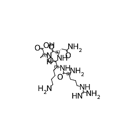 C[C@H](NC(=O)[C@H](CC(N)=O)NC(=O)[C@H](CCCCN)NC(=O)[C@@H](N)CCCNC(=N)N)C(=O)O